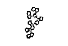 c1ccc2c(-c3cc(-c4cccc5ccccc45)nc(-n4c5ccccc5c5ccc(-n6c7ccccc7c7c8c9ccccc9n(-c9cccc%10ccccc9%10)c8ccc76)cc54)n3)cccc2c1